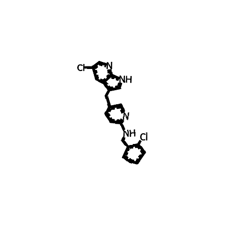 Clc1cnc2[nH]cc(Cc3ccc(NCc4ccccc4Cl)nc3)c2c1